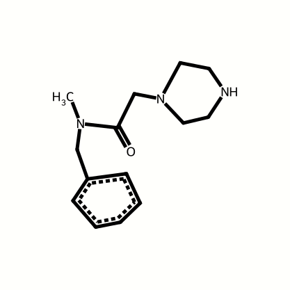 CN(Cc1ccccc1)C(=O)CN1CCNCC1